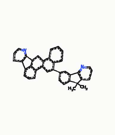 CC1(C)c2ccc(-c3cc4c5cccc6c5c(cc4c4ccccc34)-c3ncccc3-6)cc2-c2ncccc21